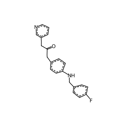 O=C(Cc1ccc(NCc2ccc(F)cc2)cc1)Cc1cccnc1